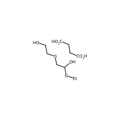 CCOC(O)COCCO.O=C(O)CCC(=O)O